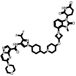 Cn1c(=O)n(C2CCC(=O)NC2=O)c2cccc(N3CC(OC4CCN(CC5CCC(n6cc(NC(=O)c7cnn8ccc(N9CCOCC9)nc78)c(C(F)F)n6)CC5)CC4)C3)c21